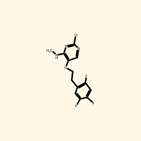 CNc1nc(Cl)ncc1OCCc1cc(F)c(F)cc1F